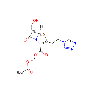 CC(C)(C)C(=O)OCOC(=O)C1=C(CCn2cnnn2)S[C@@H]2[C@@H](CO)C(=O)N12